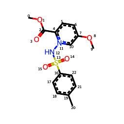 COC(=O)c1ccc(OC)c[n+]1NS(=O)(=O)c1ccc(C)cc1